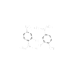 CCCCN(C)c1ccc([N+](=O)[O-])cc1Cl.CCCCN(CCC)c1ccc(C#N)c(Cl)c1